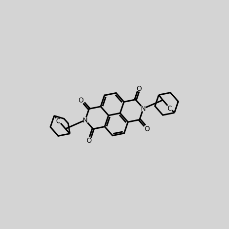 O=C1c2ccc3c4c(ccc(c24)C(=O)N1C1CC2CCC1CC2)C(=O)N(C1CC2CCC1CC2)C3=O